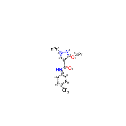 CCCOc1nn(CCC)cc1C(=O)Nc1ccc(C(F)(F)F)cc1